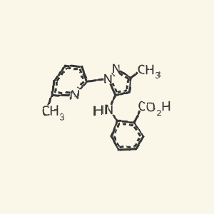 Cc1cccc(-n2nc(C)cc2Nc2ccccc2C(=O)O)n1